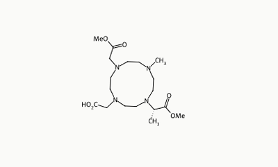 COC(=O)CN1CCN(C)CCN([C@@H](C)C(=O)OC)CCN(CC(=O)O)CC1